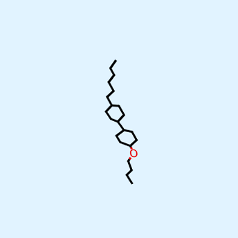 CCCCCCC1CCC(C2CCC(OCCCC)CC2)CC1